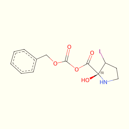 O=C(OCc1ccccc1)OC(=O)[C@@]1(O)NCCC1I